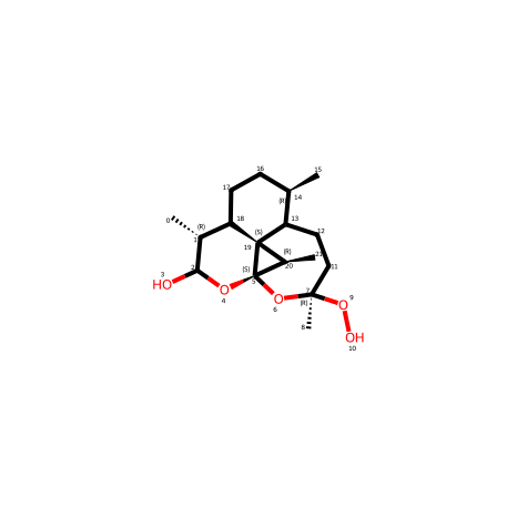 C[C@H]1C(O)O[C@@]23O[C@](C)(OO)CCC4[C@H](C)CCC1[C@]42[C@H]3C